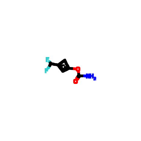 NC(=O)OC12CC(C(F)F)(C1)C2